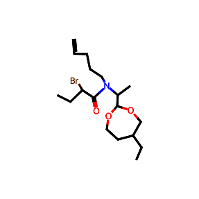 C=CCCCN(C(=O)C(Br)CC)C(C)C1OCCC(CC)CO1